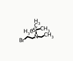 CCN(CCBr)[Si](C)(C)C